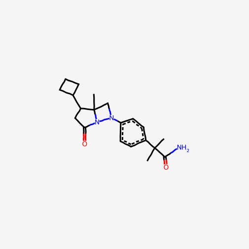 CC(C)(C(N)=O)c1ccc(N2CC3(C)C(C4CCC4)CC(=O)N23)cc1